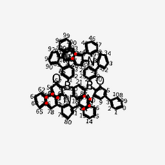 c1ccc(-c2cc3c4c(c2)N(c2ccccc2)c2cc5c(cc2B4c2ccc4c(c2O3)-c2ccccc2[N+]42c3ccccc3-c3ccccc32)B2c3ccc4c(c3Oc3cc(-c6ccccc6)cc(c32)N5c2c(-c3ccccc3)cccc2-c2ccccc2)-c2ccccc2[N+]42c3ccccc3-c3ccccc32)cc1